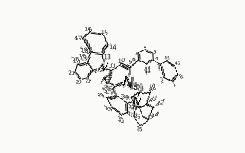 c1ccc(-c2cccc(-c3cc(-n4c5ccccc5c5ccccc54)nc(-c4ccccc4N4C5CCC6CC4CC6C5)n3)c2)cc1